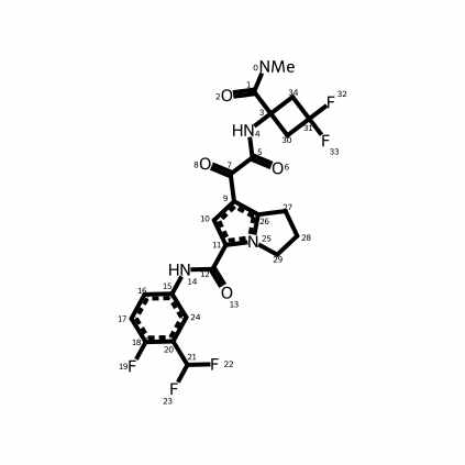 CNC(=O)C1(NC(=O)C(=O)c2cc(C(=O)Nc3ccc(F)c(C(F)F)c3)n3c2CCC3)CC(F)(F)C1